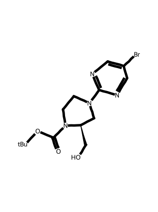 CC(C)(C)OC(=O)N1CCN(c2ncc(Br)cn2)C[C@H]1CO